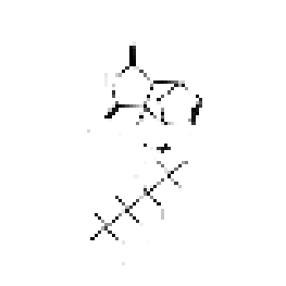 O=C1NC(=O)C2(OS(=O)(=O)C(F)(F)C(F)(F)C(F)(F)C(F)(F)F)C3C=CC(C3)C12